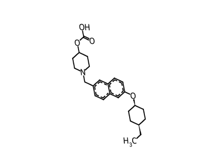 CC[C@H]1CC[C@@H](Oc2ccc3cc(CN4CCC(OC(=O)O)CC4)ccc3c2)CC1